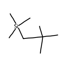 CC(C)(C)C[Si](C)(C)C